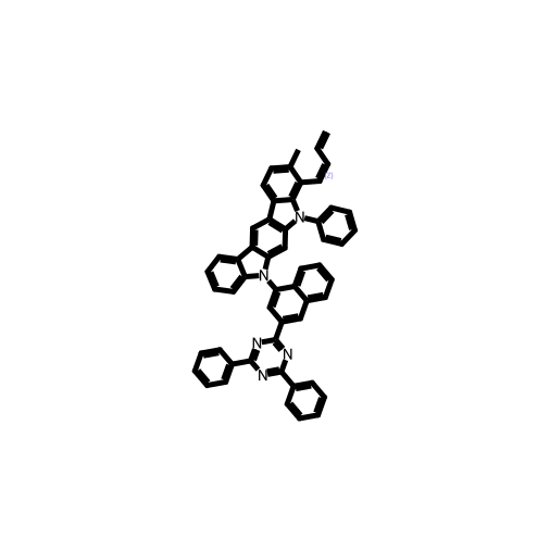 C=C/C=C\c1c(C)ccc2c3cc4c5ccccc5n(-c5cc(-c6nc(-c7ccccc7)nc(-c7ccccc7)n6)cc6ccccc56)c4cc3n(-c3ccccc3)c12